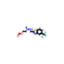 CN(CCOC=O)NCc1nc2cc(C(F)(F)F)ccc2s1